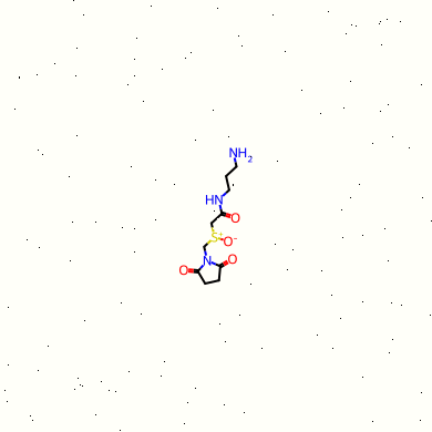 NCCCNC(=O)C[S+]([O-])CN1C(=O)CCC1=O